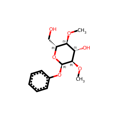 CO[C@H]1[C@@H](Oc2ccccc2)O[C@H](CO)[C@@H](OC)[C@@H]1O